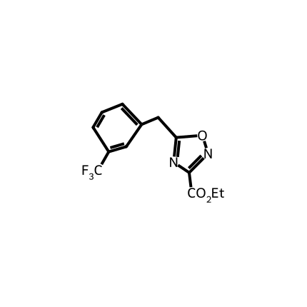 CCOC(=O)c1noc(Cc2cccc(C(F)(F)F)c2)n1